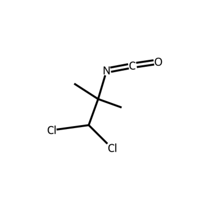 CC(C)(N=C=O)C(Cl)Cl